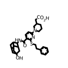 O=C(O)CC1CCCN(c2ccc(C(=O)NC3C4CC5CC3CC(O)(C5)C4)c(SCCc3ccccc3)n2)C1